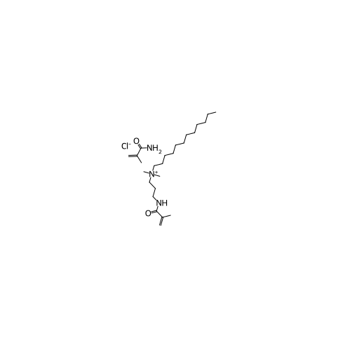 C=C(C)C(=O)NCCC[N+](C)(C)CCCCCCCCCCCC.C=C(C)C(N)=O.[Cl-]